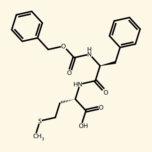 CSCC[C@H](NC(=O)[C@H](Cc1ccccc1)NC(=O)OCc1ccccc1)C(=O)O